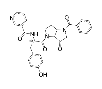 O=C(N[C@@H](Cc1ccc(O)cc1)C(=O)N1CCC2C1C(=O)CN2C(=O)c1ccccc1)c1cccnc1